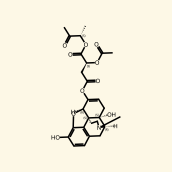 CC(=O)O[C@@H](CC(=O)OC1=CC[C@@]2(O)[C@H]3Cc4ccc(O)c5c4[C@@]2(CCN3C)[C@H]1O5)C(=O)O[C@@H](C)C(C)=O